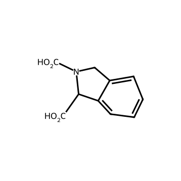 O=C(O)C1c2ccccc2CN1C(=O)O